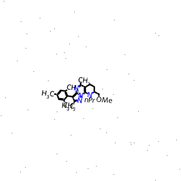 CCCN1c2c(c(C)nc3c(-c4c(C)cc(C)cc4C)c(C)nn23)CCC1COC